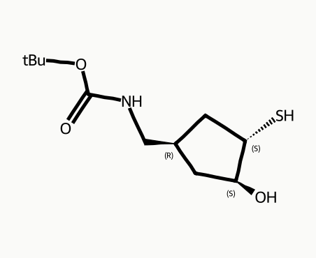 CC(C)(C)OC(=O)NC[C@@H]1C[C@H](O)[C@@H](S)C1